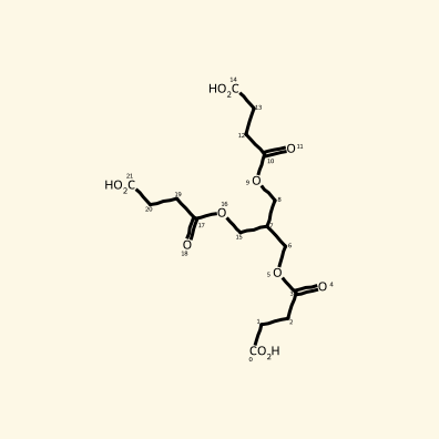 O=C(O)CCC(=O)OCC(COC(=O)CCC(=O)O)COC(=O)CCC(=O)O